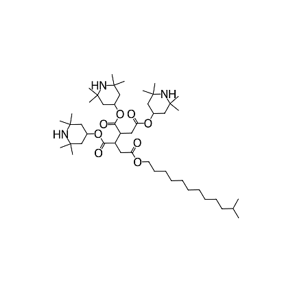 CC(C)CCCCCCCCCCOC(=O)CC(C(=O)OC1CC(C)(C)NC(C)(C)C1)C(CC(=O)OC1CC(C)(C)NC(C)(C)C1)C(=O)OC1CC(C)(C)NC(C)(C)C1